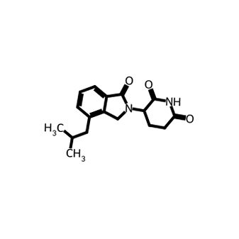 CC(C)Cc1cccc2c1CN(C1CCC(=O)NC1=O)C2=O